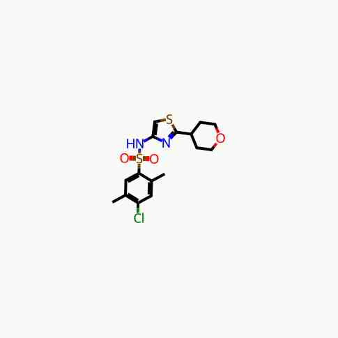 Cc1cc(S(=O)(=O)Nc2csc(C3CCOCC3)n2)c(C)cc1Cl